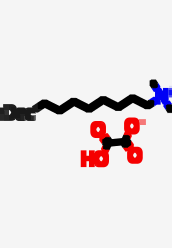 CCCCCCCCCCCCCCCCCC[N+](C)(C)C.O=C([O-])C(=O)O